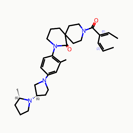 C/C=C\C(=C/C)C(=O)N1CCC2(CCCN(c3ccc(N4CC[C@H](N5CCC[C@@H]5C)C4)cc3C)C2=O)CC1